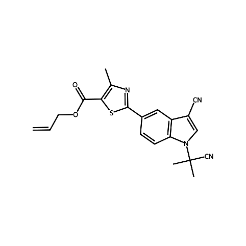 C=CCOC(=O)c1sc(-c2ccc3c(c2)c(C#N)cn3C(C)(C)C#N)nc1C